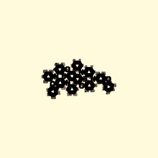 c1ccc(N2c3cccc4c3B3c5c(cccc5N4c4ccc5oc6ccccc6c5c4)Oc4cc5c6c7c(cc5c2c43)Oc2cccc3c2B7c2c(cc4c(oc5ccccc54)c2N3c2ccccc2)N6c2ccccc2)cc1